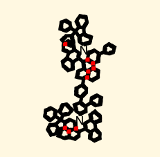 c1ccc(-c2cc(-c3ccccc3)cc(N(c3ccc4c(c3)C(c3ccccc3)(c3ccccc3)c3ccccc3-4)c3c(-c4cccc5cc(-c6ccc(-c7ccc(N(c8ccc9c(c8)C(c8ccccc8)(c8ccccc8)c8ccccc8-9)c8c(-c9ccc%10ccccc%10c9)c9ccccc9c9ccccc89)cc7-c7ccccc7)cc6)ccc45)c4ccccc4c4ccccc34)c2)cc1